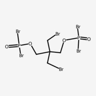 O=P(Br)(Br)OCC(CBr)(CBr)COP(=O)(Br)Br